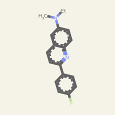 CCN(C)c1ccc2nc(-c3ccc(F)cc3)ccc2c1